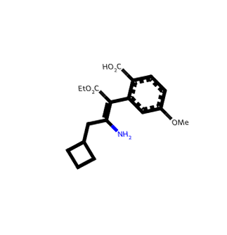 CCOC(=O)C(=C(N)CC1CCC1)c1cc(OC)ccc1C(=O)O